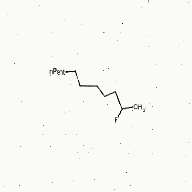 [CH2]C(F)CCCCCCCCCC